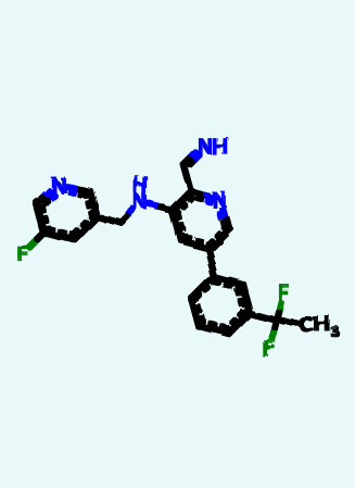 CC(F)(F)c1cccc(-c2cnc(C=N)c(NCc3cncc(F)c3)c2)c1